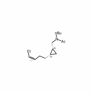 CC/C=C\CC[C@H]1C[C@H]1CN(CCCC)C(C)=O